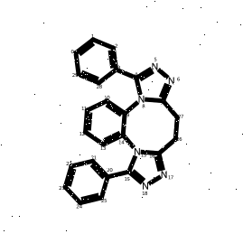 c1ccc(-c2nnc3n2-c2ccccc2-n2c(nnc2-c2ccccc2)CC3)cc1